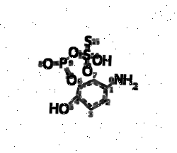 Nc1ccc(O)cc1.O=P(=O)OS(=O)(O)=S